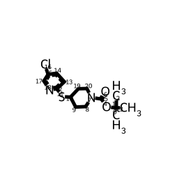 CC(C)(C)OC(=O)N1CCC(Sc2ccc(Cl)cn2)CC1